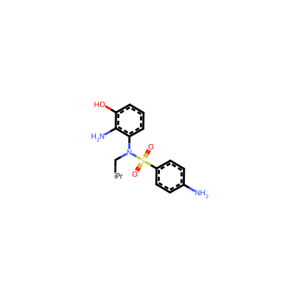 CC(C)CN(c1cccc(O)c1N)S(=O)(=O)c1ccc(N)cc1